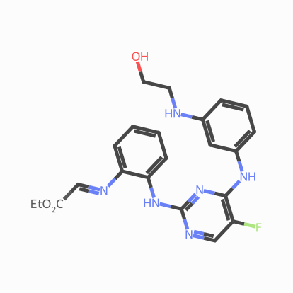 CCOC(=O)C=Nc1ccccc1Nc1ncc(F)c(Nc2cccc(NCCO)c2)n1